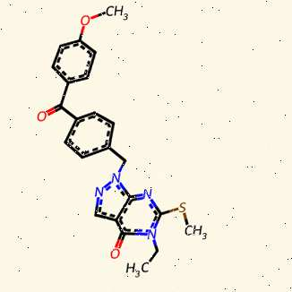 CCn1c(SC)nc2c(cnn2Cc2ccc(C(=O)c3ccc(OC)cc3)cc2)c1=O